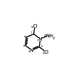 NN1C(Cl)=NC=CC1Cl